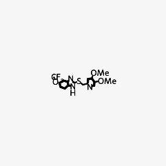 COc1cnc(CSc2nc3cc(OC(F)(F)F)ccc3[nH]2)cc1OC